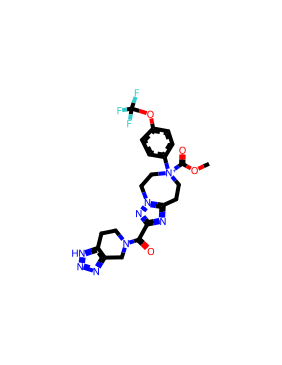 COC(=O)[N+]1(c2ccc(OC(F)(F)F)cc2)CCc2nc(C(=O)N3CCc4[nH]nnc4C3)nn2CC1